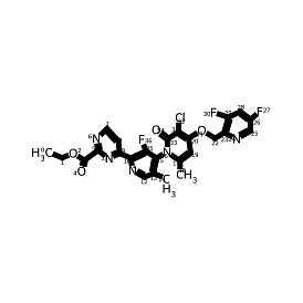 CCOC(=O)c1nccc(-c2ncc(C)c(-n3c(C)cc(OCc4ncc(F)cc4F)c(Cl)c3=O)c2F)n1